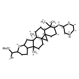 COC(C(C)C)C1CCC2C(C[C@@]3(C)C4CCC5C(C)(C)C(OC6CNCCO6)CCC56CC46CCC23C)O1